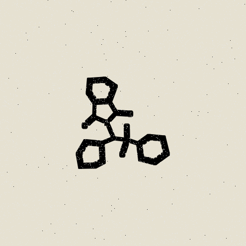 O=C1c2ccccc2C(=O)N1C(c1ccccc1)S(=O)(=O)c1ccccc1